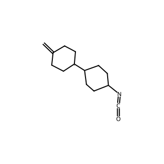 C=C1CC[C](C2CCC(N=C=O)CC2)CC1